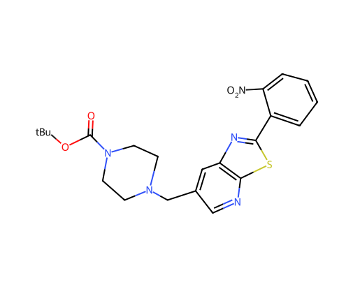 CC(C)(C)OC(=O)N1CCN(Cc2cnc3sc(-c4ccccc4[N+](=O)[O-])nc3c2)CC1